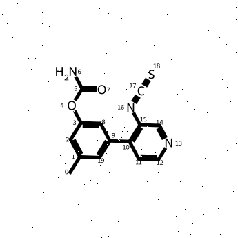 Cc1cc(OC(N)=O)cc(-c2ccncc2N=C=S)c1